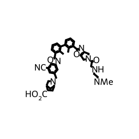 CNCCNCC(=O)N1Cc2nc(-c3cccc(-c4cccc(-c5nc6cc(CN7CC8CC7CC8C(=O)O)cc(C#N)c6o5)c4C)c3C)oc2C1